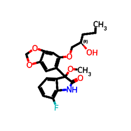 CCC[C@@H](O)COc1cc2c(cc1C1(OC)C(=O)Nc3c(F)cccc31)OCO2